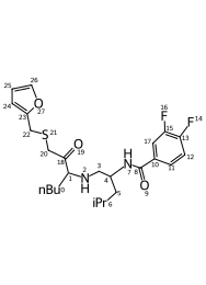 CCCCC(NCC(CC(C)C)NC(=O)c1ccc(F)c(F)c1)C(=O)CSCc1ccco1